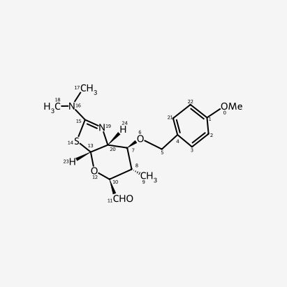 COc1ccc(CO[C@H]2[C@H](C)[C@@H](C=O)O[C@@H]3SC(N(C)C)=N[C@H]23)cc1